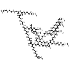 CCCCCCCCC(CCCCCCCC)OC(=O)CCCCCCCN(CCCCCCCOC(=O)C(CCCCCCCC)CCCCCCCC)CCNC(=O)CC(C)C(=O)NCCN(CCCCCCCOC(=O)C(CCCCCCCC)CCCCCCCC)CCCCCCCC(=O)OC(CCCCCCCC)CCCCCCCC